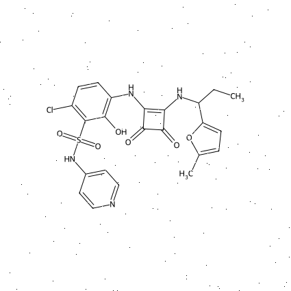 CCC(Nc1c(Nc2ccc(Cl)c(S(=O)(=O)Nc3ccncc3)c2O)c(=O)c1=O)c1ccc(C)o1